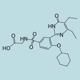 CCc1nc(-c2cc(S(=O)(=O)NCC(=O)O)ccc2OC2CCCCC2)[nH]c(=O)c1CC